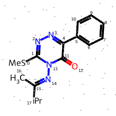 CSc1nnc(-c2ccccc2)c(=O)n1N=C(C)C(C)C